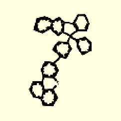 C1=CC2=C(CC1)c1cc3ccccc3cc1C2(c1ccccc1)c1ccc(-c2ccc3c(c2)Sc2cccc4cccc-3c24)cc1